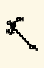 CCCCCCCCCCCCC(C)C1CN(CCO)C(Cl)=N1